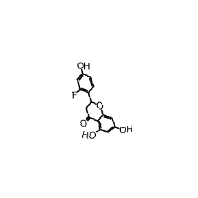 O=C1CC(c2ccc(O)cc2F)Oc2cc(O)cc(O)c21